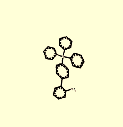 Nc1ccccc1-c1ccc(S(c2ccccc2)(c2ccccc2)c2ccccc2)cc1